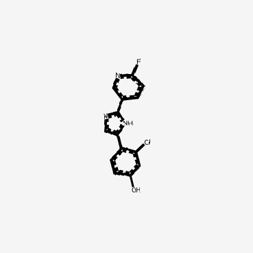 Oc1ccc(-c2cnc(-c3ccc(F)nc3)[nH]2)c(Cl)c1